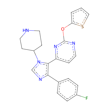 Fc1ccc(-c2ncn(C3CCNCC3)c2-c2ccnc(Oc3cccs3)n2)cc1